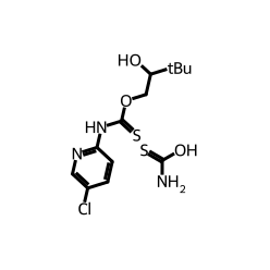 CC(C)(C)C(O)COC(=S)Nc1ccc(Cl)cn1.NC(O)=S